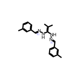 CC(C)=C(N/N=C/c1cccc(C)c1)N/N=C/c1cccc(C)c1